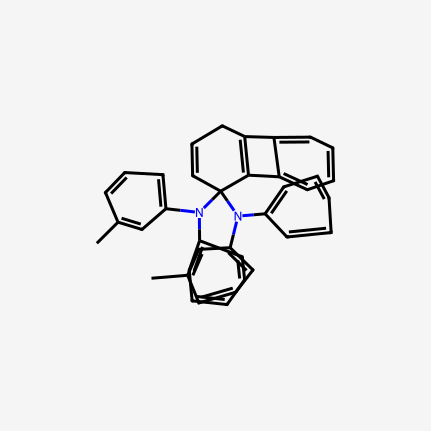 Cc1cccc(N(c2ccccc2)C2(N(c3ccccc3)c3cccc(C)c3)C=CCC3=C2c2ccccc23)c1